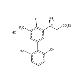 CCOC(=O)C[C@H](N)c1cc(-c2c(C)cccc2O)cc(C(F)(F)F)c1F.Cl